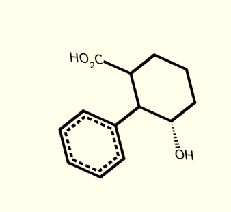 O=C(O)C1CCC[C@H](O)C1c1ccccc1